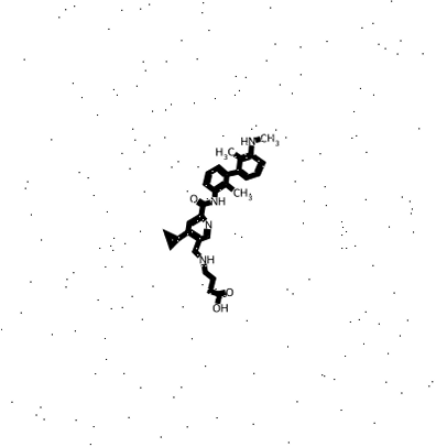 CNc1cccc(-c2cccc(NC(=O)c3cc(C4CC4)c(CNCCCC(=O)O)cn3)c2C)c1C